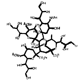 [2H]CC(O)C(O)C1OC(CC(C2(C(=O)O)CC(O)C(NC(C)=O)C(C(O)C(O)CO)O2)C(C(C)C)(C(C)C)C(CC2(C(=O)O)CC(O)C(NC(C)=O)C(C(O)C(O)CO)O2)C2(C(=O)O)CC(O)C(NC(C)=O)C(C(O)C(O)CO)O2)(C(=O)O)CC(O)C1C